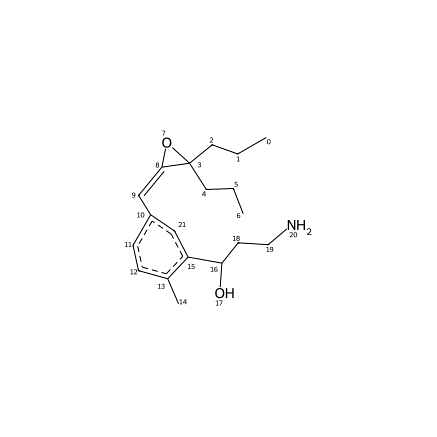 CCCC1(CCC)OC1=Cc1ccc(C)c(C(O)CCN)c1